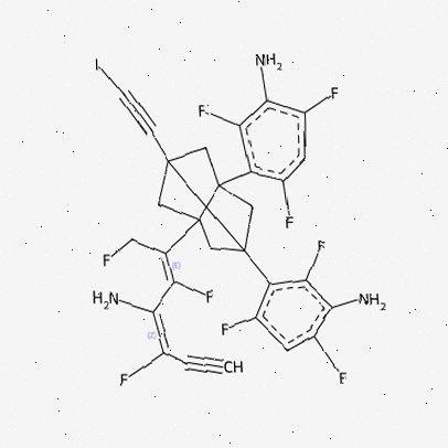 C#C/C(F)=C(N)\C(F)=C(/CF)C12CC3(C#CI)CC1(c1c(F)cc(F)c(N)c1F)CC3(c1c(F)cc(F)c(N)c1F)C2